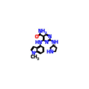 Cn1ccc2c(Nc3nc(N[C@@H]4CCNC4)ncc3C(N)=O)cccc21